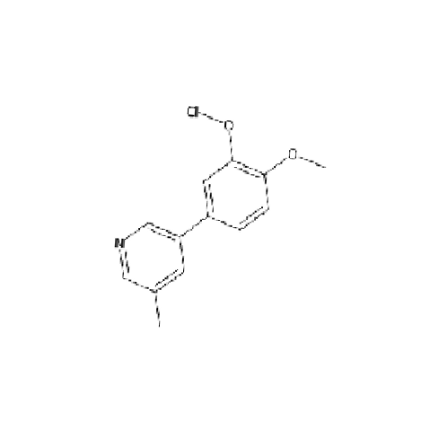 COc1ccc(-c2cncc(C)c2)cc1OCl